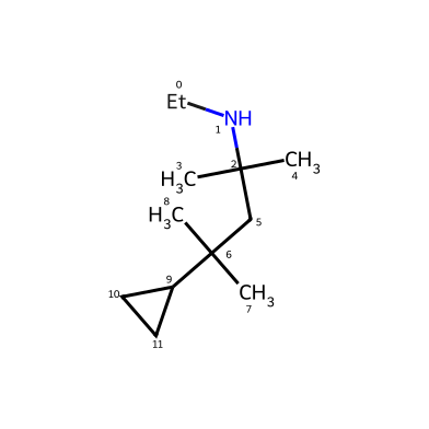 CCNC(C)(C)CC(C)(C)C1CC1